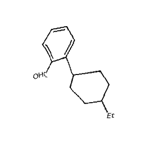 CCC1CCC(c2ccccc2C=O)CC1